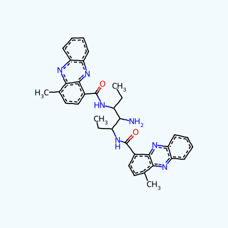 CCC(NC(=O)c1ccc(C)c2nc3ccccc3nc12)C(N)C(CC)NC(=O)c1ccc(C)c2nc3ccccc3nc12